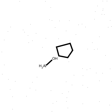 C1CCCC1.[OH][AlH2]